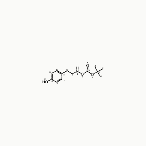 CC(C)(C)OC(=O)ONCCc1ccc(O)cc1